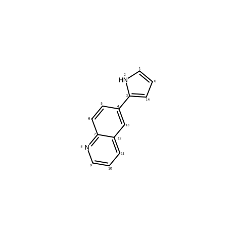 c1c[nH]c(-c2ccc3ncccc3c2)c1